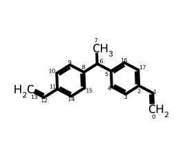 C=Cc1ccc(C(C)c2ccc(C=C)cc2)cc1